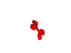 CC(C)(CCC(C)(C)c1ccc(N(c2ccc3c(c2)-c2ccc4ccccc4c2C3(C)C)c2ccc3ccccc3c2-c2cccc3oc4ccccc4c23)cc1)c1ccc(N(c2ccc3c(c2)-c2c(ccc4ccccc24)C3(C)C)c2ccc3ccccc3c2-c2cccc3oc4ccccc4c23)cc1